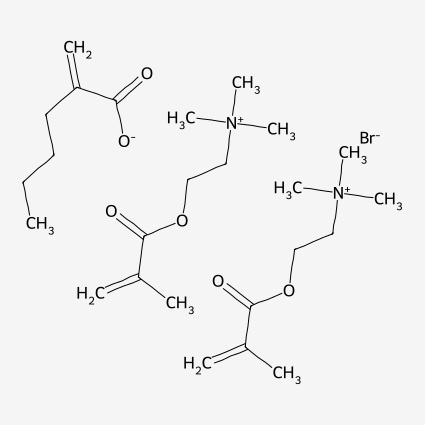 C=C(C)C(=O)OCC[N+](C)(C)C.C=C(C)C(=O)OCC[N+](C)(C)C.C=C(CCCC)C(=O)[O-].[Br-]